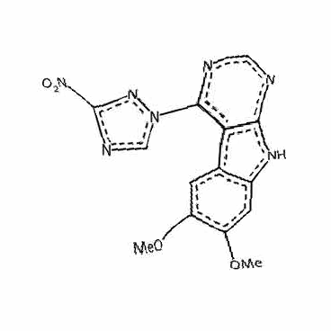 COc1cc2[nH]c3ncnc(-n4cnc([N+](=O)[O-])n4)c3c2cc1OC